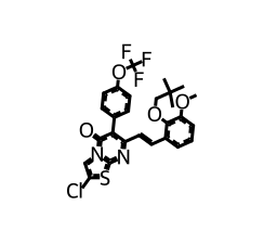 COc1cccc(/C=C/c2nc3sc(Cl)cn3c(=O)c2-c2ccc(OC(F)(F)F)cc2)c1OCC(C)(C)C